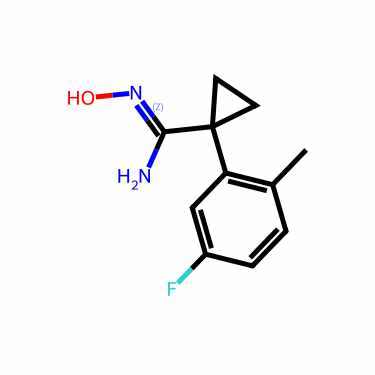 Cc1ccc(F)cc1C1(/C(N)=N/O)CC1